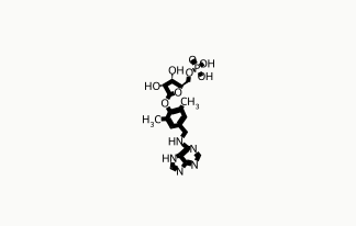 Cc1cc(CNc2ncnc3nc[nH]c23)cc(C)c1OC1O[C@H](COP(=O)(O)O)[C@@H](O)[C@H]1O